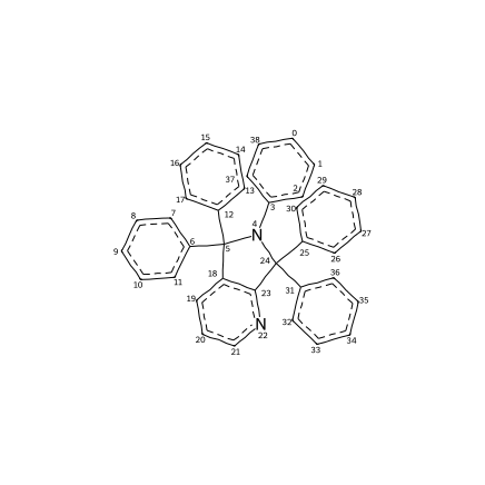 c1ccc(N2C(c3ccccc3)(c3ccccc3)c3cccnc3C2(c2ccccc2)c2ccccc2)cc1